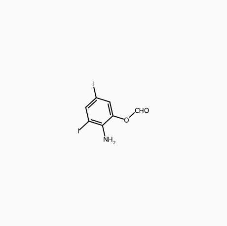 Nc1c(I)cc(I)cc1OC=O